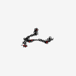 Cc1ncsc1-c1ccc(CNC(=O)[C@@H]2C[C@@H](OC(=O)CCOCC[N+](C)(C)C)CN2C(=O)[C@@H](NC(=O)COCCCCOc2ccc(-c3ccc(N4C(=S)N(c5ccc(C#N)c(C(F)(F)F)c5)C(=O)C4(C)C)cc3)cc2)C(C)(C)C)cc1.O=C([O-])C(F)(F)F